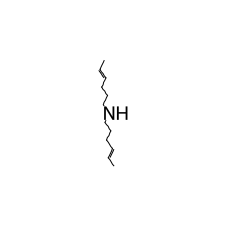 C/C=C/CCCNCCC/C=C/C